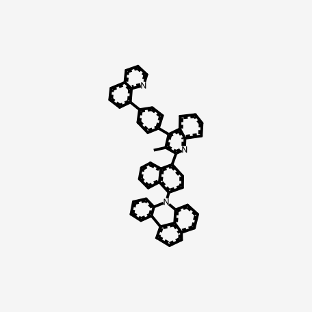 Cc1c(-c2ccc(N3c4ccccc4-c4cccc5cccc3c45)c3ccccc23)nc2ccccc2c1-c1ccc(-c2cccc3cccnc23)cc1